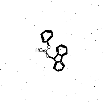 OB(Oc1ccccc1)OC1c2ccccc2-c2ccccc21